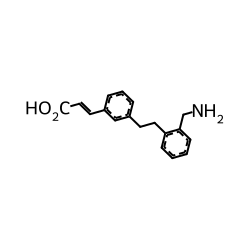 NCc1ccccc1CCc1cccc(/C=C/C(=O)O)c1